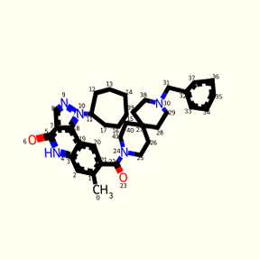 Cc1cc2[nH]c(=O)c3cnn(C4CCCCCC4)c3c2cc1C(=O)N1CCC2(CCN(Cc3ccccc3)CC2)CC1